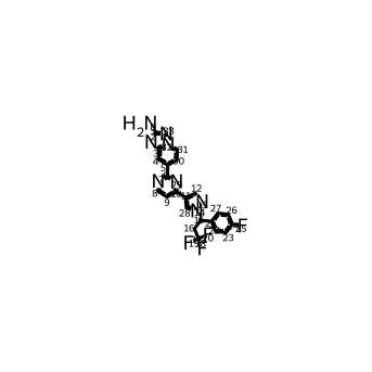 Nc1nc2cc(-c3nccc(-c4cnn(C(CC(F)(F)F)c5ccc(F)cc5)c4)n3)ccn2n1